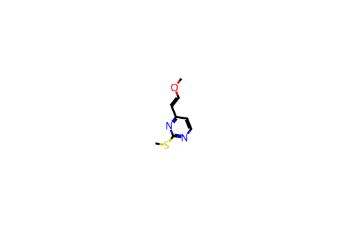 COC=Cc1ccnc(SC)n1